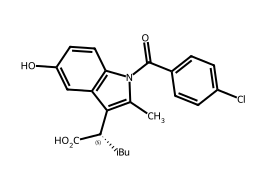 CCC(C)[C@H](C(=O)O)c1c(C)n(C(=O)c2ccc(Cl)cc2)c2ccc(O)cc12